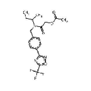 CCC(C)N(Cc1ccc(-c2noc(C(F)(F)F)n2)cc1)C(=O)COC(C)=O